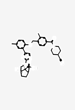 Cc1ccc(OCc2ccc(C(=O)N3CCC(C#N)CC3)cc2C)c(-c2csc(N3CC4CC[C@@H](C3)[C@@H]4C(=O)O)n2)c1